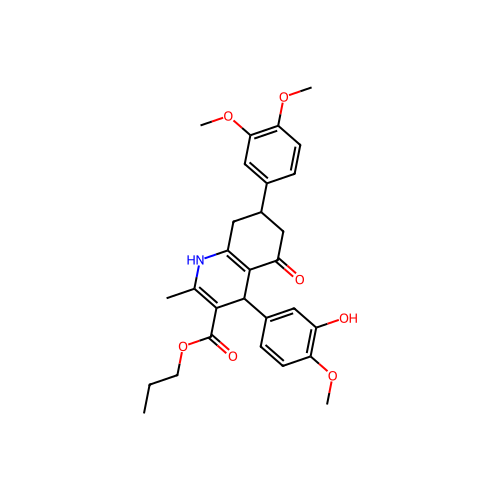 CCCOC(=O)C1=C(C)NC2=C(C(=O)CC(c3ccc(OC)c(OC)c3)C2)C1c1ccc(OC)c(O)c1